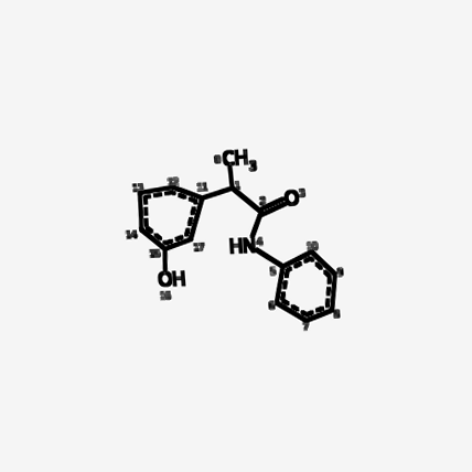 CC(C(=O)Nc1ccccc1)c1cccc(O)c1